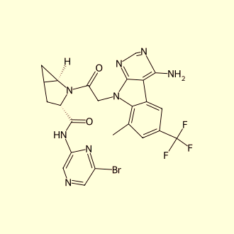 Cc1cc(C(F)(F)F)cc2c3c(N)ncnc3n(CC(=O)N3[C@@H]4CC4C[C@H]3C(=O)Nc3cncc(Br)n3)c12